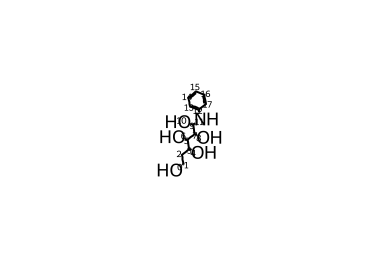 OCCC(O)C(O)C(O)C(O)Nc1ccccc1